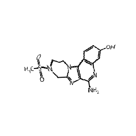 CS(=O)(=O)N1CCn2c(nc3c(N)nc4cc(O)ccc4c32)C1